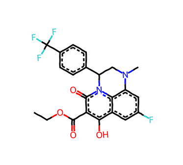 CCOC(=O)c1c(O)c2cc(F)cc3c2n(c1=O)C(c1ccc(C(F)(F)F)cc1)CN3C